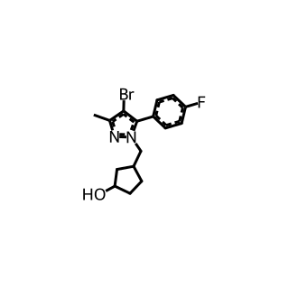 Cc1nn(CC2CCC(O)C2)c(-c2ccc(F)cc2)c1Br